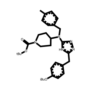 Cc1ccc(CN(c2nnc(Cc3ccc(OCC(C)C)cc3)[nH]2)C2CCN(C(=O)OC(C)(C)C)CC2)cc1